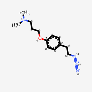 CN(C)CCCOc1ccc(CCN=[N+]=[N-])cc1